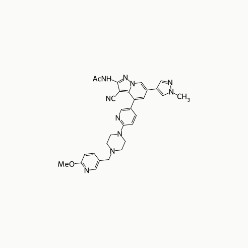 COc1ccc(CN2CCN(c3ccc(-c4cc(-c5cnn(C)c5)cn5nc(NC(C)=O)c(C#N)c45)cn3)CC2)cn1